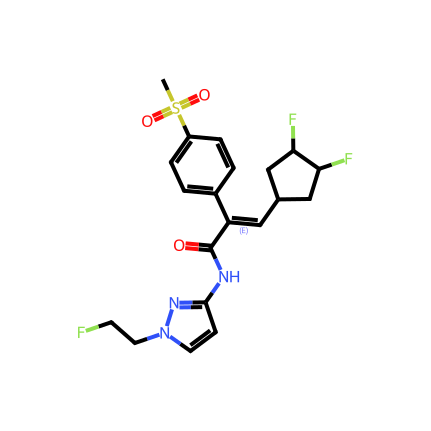 CS(=O)(=O)c1ccc(/C(=C\C2CC(F)C(F)C2)C(=O)Nc2ccn(CCF)n2)cc1